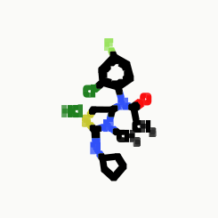 CC(=O)N(c1ccc(F)cc1Cl)C1CSC(=NC2CCCC2)N1C.Cl